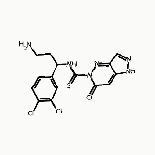 NCCC(NC(=S)n1nc2cn[nH]c2cc1=O)c1ccc(Cl)c(Cl)c1